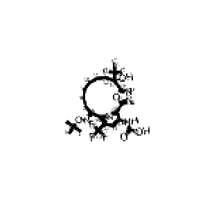 CC(C)(C)ON=C1CCCCCC[C@](O)(C(F)(F)F)c2nnc(o2)-c2nc1c(C(F)(F)F)cc2NC(=O)O